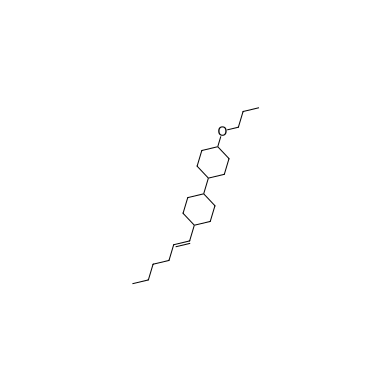 CCCCC=CC1CCC(C2CCC(OCCC)CC2)CC1